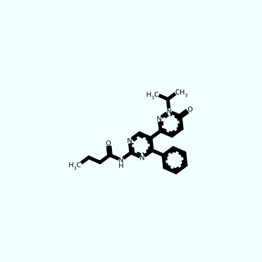 CCCC(=O)Nc1ncc(-c2ccc(=O)n(C(C)C)n2)c(-c2ccccc2)n1